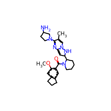 COc1cc2c(cc1C(=O)N1CCCCC1C1C=C3N=C(N4CCC(N)C4)C(C)=CN3N1)CCC2